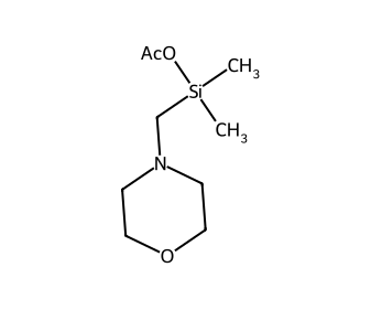 CC(=O)O[Si](C)(C)CN1CCOCC1